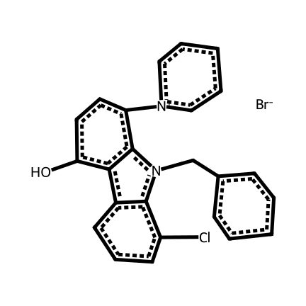 Oc1ccc(-[n+]2ccccc2)c2c1c1cccc(Cl)c1n2Cc1ccccc1.[Br-]